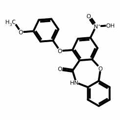 COc1cccc(Oc2cc([N+](=O)O)cc3c2C(=O)Nc2ccccc2O3)c1